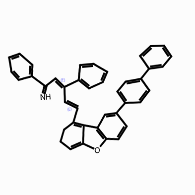 N=C(/C=C(\C=C\C1=c2c(oc3ccc(-c4ccc(-c5ccccc5)cc4)cc23)=CCC1)c1ccccc1)c1ccccc1